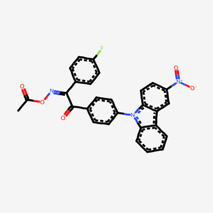 CC(=O)O/N=C(\C(=O)c1ccc(-n2c3ccccc3c3cc([N+](=O)[O-])ccc32)cc1)c1ccc(F)cc1